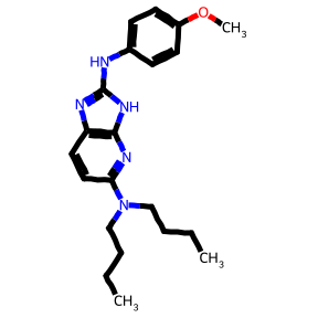 CCCCN(CCCC)c1ccc2nc(Nc3ccc(OC)cc3)[nH]c2n1